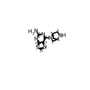 Nc1nc(N2CC3CC2CN3)c2ncsc2n1